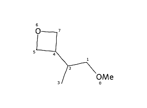 COCC(C)C1COC1